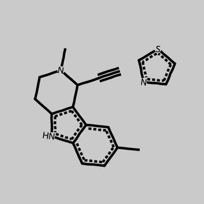 C#CC1c2c([nH]c3ccc(C)cc23)CCN1C.c1cscn1